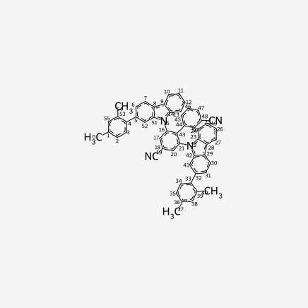 Cc1ccc(-c2ccc3c4ccccc4n(-c4cc(C#N)cc(-n5c6ccccc6c6ccc(-c7ccc(C)cc7C)cc65)c4-c4cccc(C#N)c4)c3c2)c(C)c1